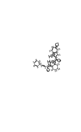 O=C(C#Cc1ccccc1)N[C@@H]1CCCC[C@@H]1NC(=O)c1cc2cc(Cl)ccc2[nH]1